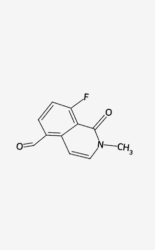 Cn1ccc2c(C=O)ccc(F)c2c1=O